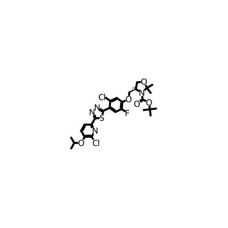 CC(C)Oc1ccc(-c2nnc(-c3cc(F)c(OC[C@H]4COC(C)(C)N4C(=O)OC(C)(C)C)cc3Cl)s2)nc1Cl